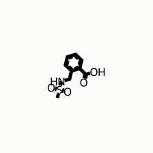 CS(=O)(=O)NCc1ccccc1C(=O)O